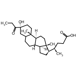 CCC(=O)[C@@]1(O)CC[C@@]2(C)C(CC[C@H]3[C@@H]4CC[C@H]([C@H](C)CCC(=O)O)[C@@]4(C)CC[C@@H]32)C1